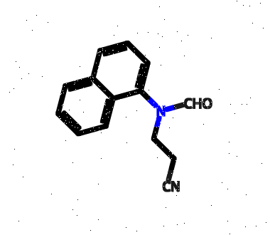 N#CCCN(C=O)c1cccc2ccccc12